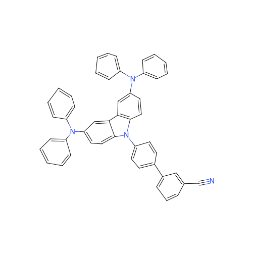 N#Cc1cccc(-c2ccc(-n3c4ccc(N(c5ccccc5)c5ccccc5)cc4c4cc(N(c5ccccc5)c5ccccc5)ccc43)cc2)c1